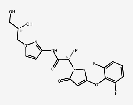 CCC[C@@H](C(=O)Nc1ccn(C[C@@H](O)CO)n1)N1CC(Oc2c(F)cccc2F)=CC1=O